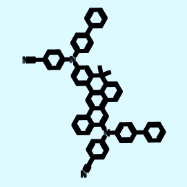 CC1(C)c2cc(N(c3ccc(C#N)cc3)c3ccc(-c4ccccc4)cc3)ccc2-c2cc3c4ccccc4c(N(c4ccc(C#N)cc4)c4ccc(-c5ccccc5)cc4)cc3c3cccc1c23